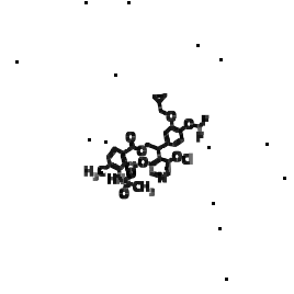 Cc1ccc(C(=O)OCC(c2ccc(OC(F)F)c(OCC3CC3)c2)c2c(OCl)cncc2OCl)cc1NS(C)(=O)=O